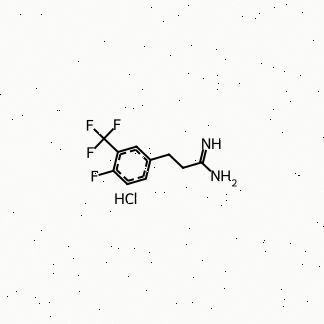 Cl.N=C(N)CCc1ccc(F)c(C(F)(F)F)c1